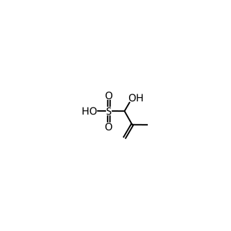 C=C(C)C(O)S(=O)(=O)O